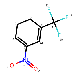 O=[N+]([O-])C1=C[CH]CC(C(F)(F)F)=C1